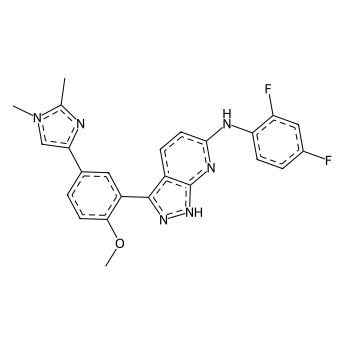 COc1ccc(-c2cn(C)c(C)n2)cc1-c1n[nH]c2nc(Nc3ccc(F)cc3F)ccc12